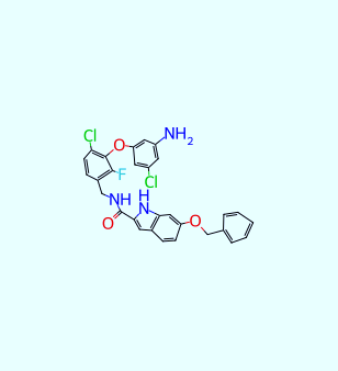 Nc1cc(Cl)cc(Oc2c(Cl)ccc(CNC(=O)c3cc4ccc(OCc5ccccc5)cc4[nH]3)c2F)c1